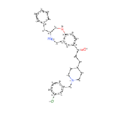 O=C(CCC1CCN(Cc2cccc(Cl)c2)CC1)c1ccc2c(c1)CNC(Cc1ccccc1)CO2